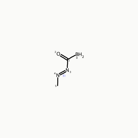 BC(=O)/N=N/C